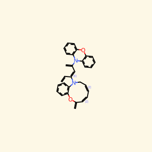 C=C/C(=C\C(=C)N1c2ccccc2Oc2ccccc21)N1C/C=C\C=C/C(=C)Oc2ccccc21